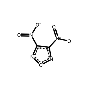 O=[N+]([O-])c1nonc1[N+](=O)[O-]